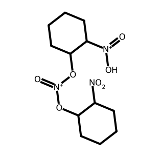 O=[N+](OC1CCCCC1[N+](=O)[O-])OC1CCCCC1[N+](=O)O